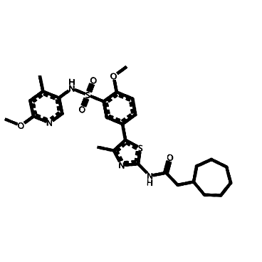 COc1cc(C)c(NS(=O)(=O)c2cc(-c3sc(NC(=O)CC4CCCCCC4)nc3C)ccc2OC)cn1